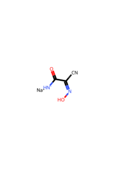 N#CC(=NO)C([NH-])=O.[Na+]